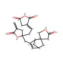 C=C1CC(C/C=C2\CC(=O)OC2=O)(CC2=CC3CC2C2(COC(=O)C2)C3)OC1=O